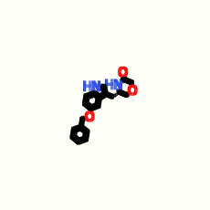 O=C1COC[C@H](Cc2c[nH]c3ccc(OCc4ccccc4)cc23)N1